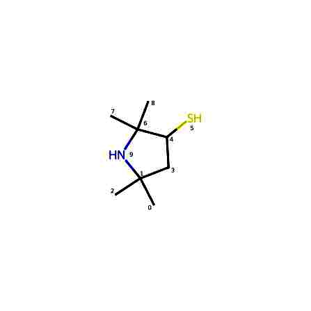 CC1(C)CC(S)C(C)(C)N1